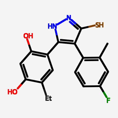 CCc1cc(-c2[nH]nc(S)c2-c2ccc(F)cc2C)c(O)cc1O